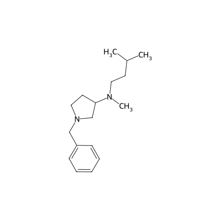 CC(C)CCN(C)C1CCN(Cc2ccccc2)C1